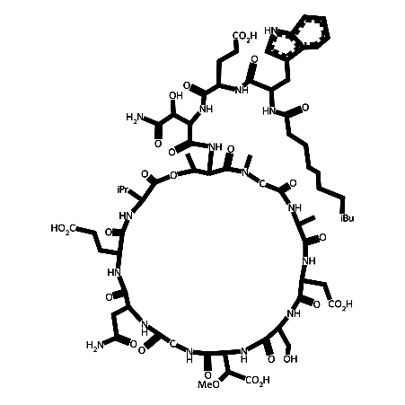 CCC(C)CCCCCCC(=O)NC(Cc1c[nH]c2ccccc12)C(=O)NC(CCC(=O)O)C(=O)NC(C(=O)NC1C(=O)N(C)CC(=O)NC(C)C(=O)NC(CC(=O)O)C(=O)NC(CO)C(=O)NC(C(OC)C(=O)O)C(=O)NCC(=O)NC(CC(N)=O)C(=O)NC(CCC(=O)O)C(=O)NC(C(C)C)C(=O)OC1C)C(O)C(N)=O